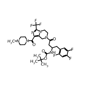 CN1CCN(C(=O)c2nc(C(F)(F)F)n3c2CN(C(=O)CC(Cc2cc(F)c(F)cc2F)NC(=O)OC(C)(C)C)CC3)CC1